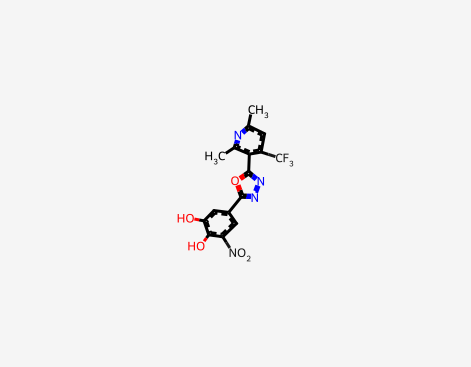 Cc1cc(C(F)(F)F)c(-c2nnc(-c3cc(O)c(O)c([N+](=O)[O-])c3)o2)c(C)n1